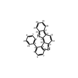 c1ccc(-c2cccc3c2-c2c4c(ccc2=N3)=c2ccccc2=N4)cc1